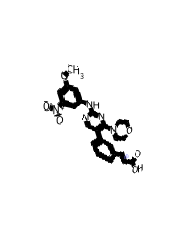 COc1cc(Nc2ncc(-c3cccc(/C=C/C(=O)O)c3)c(N3CCOCC3)n2)cc([N+](=O)[O-])c1